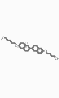 CCCCCCO[C@@H]1CC[C@@H]2CC(C3CCc4cc(OCCCCC)ccc4C3)CCC2C1